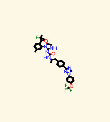 Cc1ccc(C2CC2(C)F)c(N2C(=O)CN/C2=N\C(=O)NC(C)Cc2ccc(-c3ncn(-c4ccc(OC(F)(F)F)cc4)n3)cc2)c1